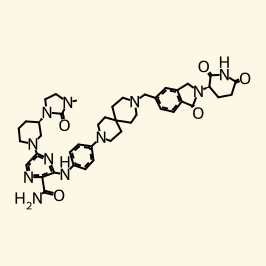 CN1CCN([C@@H]2CCCN(c3cnc(C(N)=O)c(Nc4ccc(N5CCC6(CCN(Cc7ccc8c(c7)CN([C@@H]7CCC(=O)NC7=O)C8=O)CC6)CC5)cc4)n3)C2)C1=O